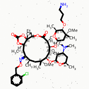 CC[C@H]1OC(=O)[C@H](C)[C@@H](O[C@H]2C[C@@](C)(OC)[C@@H](OCCCN)[C@H](C)O2)[C@H](C)[C@@H](O[C@@H]2O[C@H](C)C[C@H](N(C)C)[C@H]2OC(C)=O)[C@](C)(OC)C[C@@H](C)/C(=N\OCc2ccccc2Cl)[C@H](C)[C@H]2OC(=O)O[C@@]21C